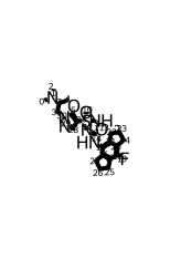 CN(C)C1COc2c(S(N)(=O)=NC(=O)Nc3c4c(c(F)c5c3CCC5)CCC4)cnn2C1